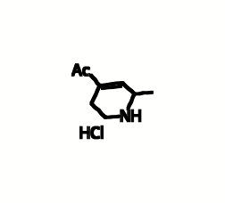 CC(=O)C1=CC(C)NCC1.Cl